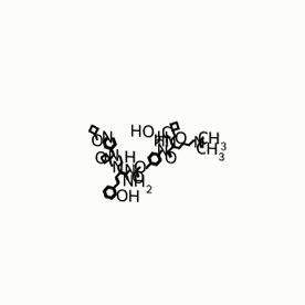 CN(C)CCCCC(NC(=O)C1(C(=O)O)CCC1)C(=O)Nc1ccc(COC(=O)N/C(N)=C(/C=C/c2ccccc2O)N2CCN(c3ccnc(OC4CCC4)c3)C3(COC3)C2)cc1